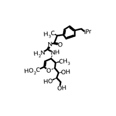 CC(C)Cc1ccc([C@H](C)C(=O)/N=C(/N)N[C@H]2C=C(C(=O)O)O[C@@H]([C@H](O)[C@H](O)CO)[C@@H]2C)cc1